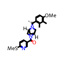 COc1ccc([C@@H](C)N2C[C@@H]3C[C@H]2CN3C(=O)c2ccc(SC)nc2)c(C)c1C